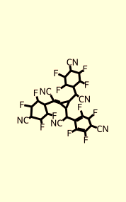 N#C/C(=C1/C(C(C#N)C2=C(F)C(F)C(C#N)C(F)=C2F)C1C(C#N)C1C(F)C(F)C(C#N)C(F)C1F)C1C(F)C(F)C(C#N)C(F)C1F